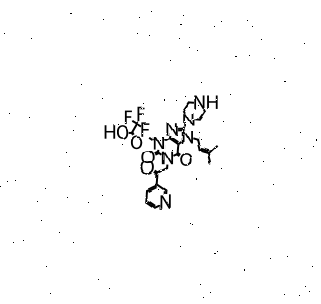 CC(C)=CCn1c(N2CCNCC2)nc2c1c(=O)n(CC(=O)c1cccnc1)c(=O)n2C.O=C(O)C(F)(F)F